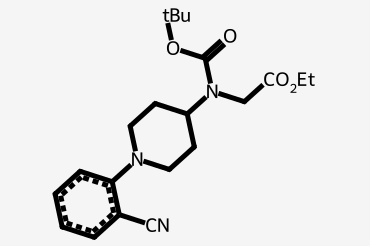 CCOC(=O)CN(C(=O)OC(C)(C)C)C1CCN(c2ccccc2C#N)CC1